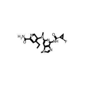 CCc1cc(C(N)=O)ncc1N(C)c1cc2c(ncn2C)c(NC(=O)[C@H]2C[C@H]2F)n1